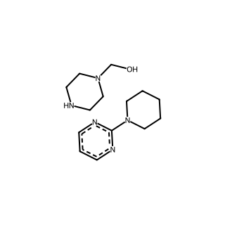 OCN1CCNCC1.c1cnc(N2CCCCC2)nc1